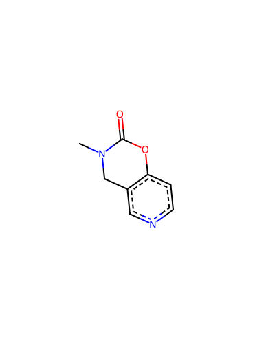 CN1Cc2cnccc2OC1=O